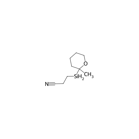 CC1([SiH2]CCC#N)CCCCO1